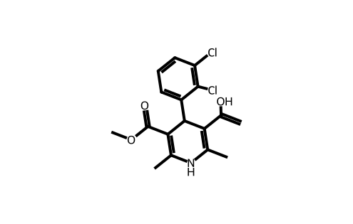 C=C(O)C1=C(C)NC(C)=C(C(=O)OC)C1c1cccc(Cl)c1Cl